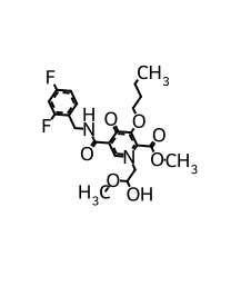 CCCCOc1c(C(=O)OC)n(CC(O)OC)cc(C(=O)NCc2ccc(F)cc2F)c1=O